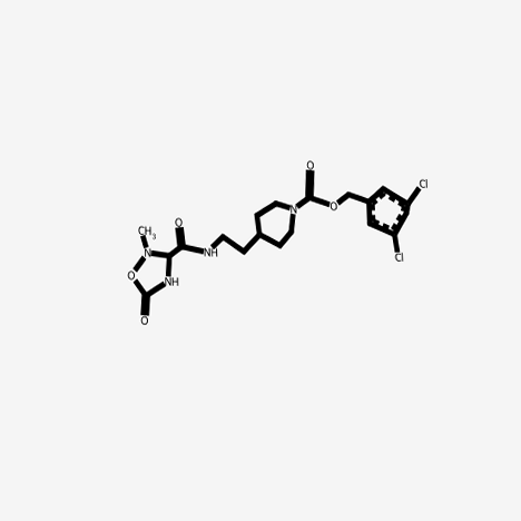 CN1OC(=O)NC1C(=O)NCCC1CCN(C(=O)OCc2cc(Cl)cc(Cl)c2)CC1